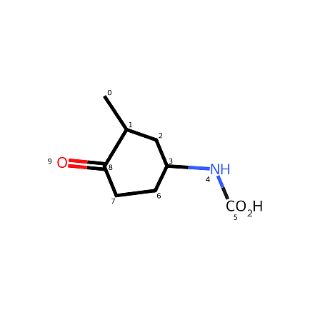 CC1CC(NC(=O)O)CCC1=O